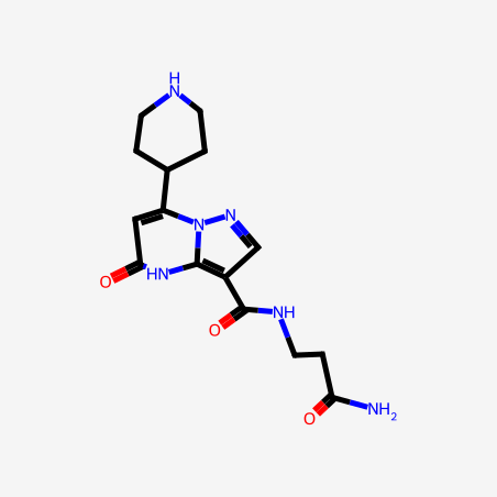 NC(=O)CCNC(=O)c1cnn2c(C3CCNCC3)cc(=O)[nH]c12